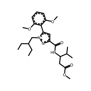 CCC(CC)Cn1nc(C(=O)NC(CC(=O)OC)C(C)C)cc1-c1c(OC)cccc1OC